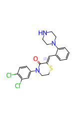 O=C1/C(=C/c2ccccc2N2CCNCC2)SCCN1c1ccc(Cl)c(Cl)c1